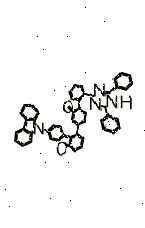 c1ccc(C2=NC(c3cccc4oc5cc(-c6cccc7oc8cc(-n9c%10ccccc%10c%10ccccc%109)ccc8c67)ccc5c34)=NC(c3ccccc3)N2)cc1